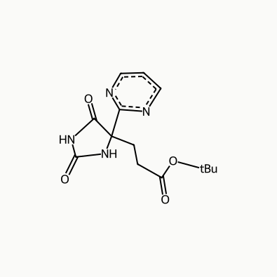 CC(C)(C)OC(=O)CCC1(c2ncccn2)NC(=O)NC1=O